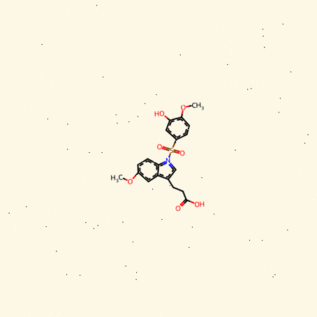 COc1ccc2c(c1)c(CCC(=O)O)cn2S(=O)(=O)c1ccc(OC)c(O)c1